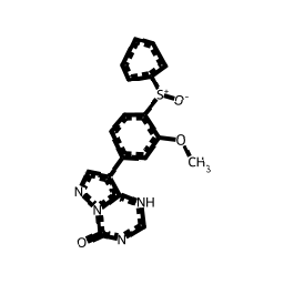 COc1cc(-c2cnn3c(=O)nc[nH]c23)ccc1[S+]([O-])c1ccccc1